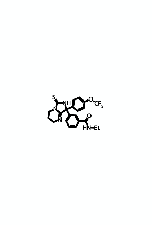 CCNC(=O)c1cccc(C2(c3ccc(OC(F)(F)F)cc3)NC(=S)N3CCCN=C32)c1